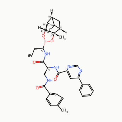 Cc1ccc(C(=O)NC[C@H](NC(=O)c2cc(-c3ccccc3)ncn2)C(=O)N[C@@H](CC(C)C)B2O[C@@H]3C[C@@H]4C[C@@H](C4(C)C)[C@]3(C)O2)cc1